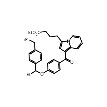 CCOC(=O)CCCc1cc(C(=O)c2ccc(OC(CC)c3ccc(CC(C)C)cc3)cc2)c2ccccn12